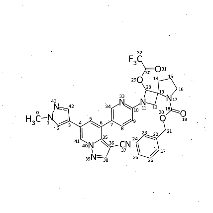 Cn1cc(-c2cc(-c3ccc(N4CC5(CCCN5C(=O)OCc5ccccc5)C4OC(=O)C(F)(F)F)nc3)c3c(C#N)cnn3c2)cn1